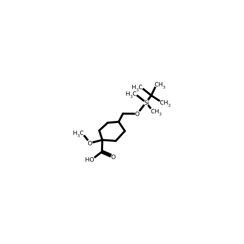 COC1(C(=O)O)CCC(CO[Si](C)(C)C(C)(C)C)CC1